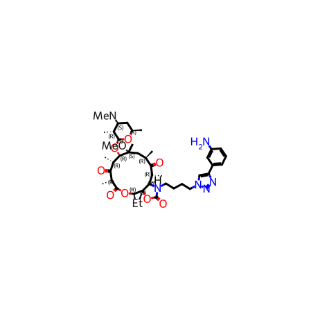 CC[C@H]1OC(=O)[C@H](C)C(=O)[C@H](C)[C@@H](O[C@@H]2O[C@H](C)C[C@H](NC)[C@H]2C)[C@@](C)(OC)C[C@@H](C)C(=O)[C@H](C)[C@H]2N(CCCCn3cc(-c4cccc(N)c4)nn3)C(=O)O[C@]12C